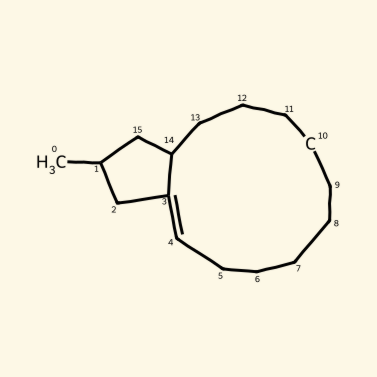 CC1C/C2=C/CCCCCCCCCC2C1